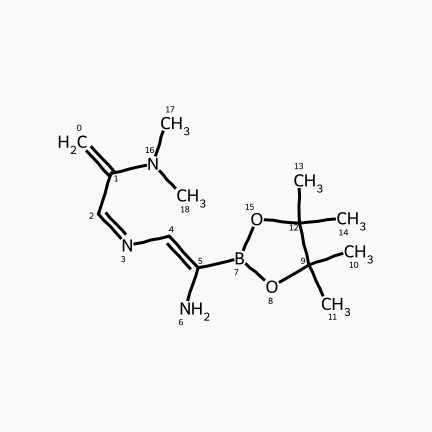 C=C(/C=N\C=C(/N)B1OC(C)(C)C(C)(C)O1)N(C)C